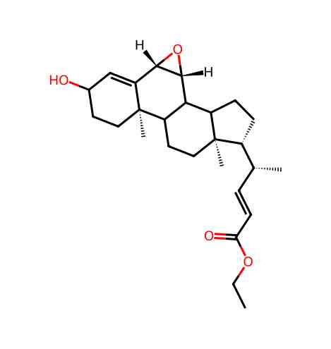 CCOC(=O)/C=C/[C@@H](C)[C@H]1CCC2C3C(CC[C@@]21C)[C@@]1(C)CCC(O)C=C1[C@@H]1O[C@H]31